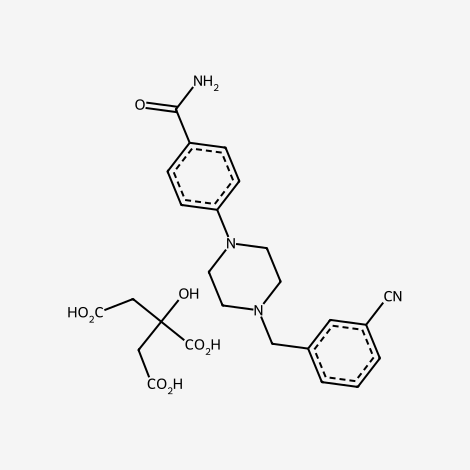 N#Cc1cccc(CN2CCN(c3ccc(C(N)=O)cc3)CC2)c1.O=C(O)CC(O)(CC(=O)O)C(=O)O